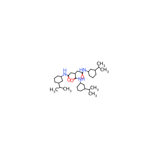 CC(C)C1CCCC(NC(=O)CC(CC(=O)NC2CCCC(C(C)C)C2)C(=O)NC2CCCC(C(C)C)C2)C1